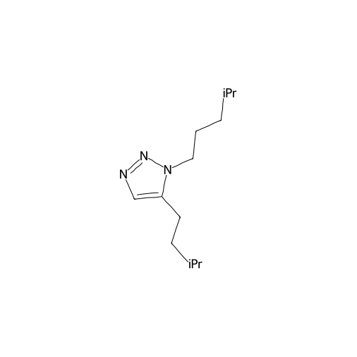 CC(C)CCCn1nncc1CCC(C)C